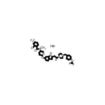 Br.CN(C(=O)c1ccc(C(F)(F)F)cc1Cl)c1ccc(Oc2ccc3cc(CC(=O)N4CCN(Cc5ccc(OC(F)F)cc5)CC4)[nH]c3c2)nc1